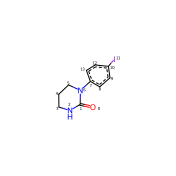 O=C1NCCCN1c1ccc(I)cc1